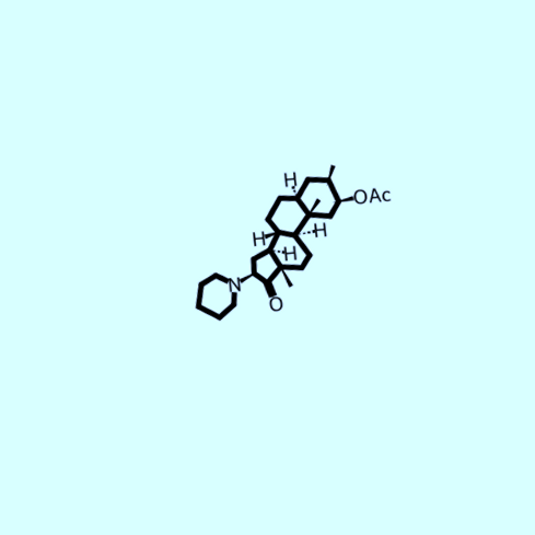 CC(=O)O[C@H]1C[C@@]2(C)[C@@H](CC[C@@H]3[C@@H]2CC[C@]2(C)C(=O)[C@@H](N4CCCCC4)C[C@@H]32)C[C@H]1C